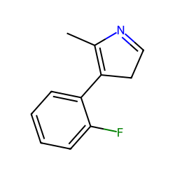 CC1=C(c2ccccc2F)CC=N1